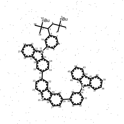 CCCCC(C)(C)CC(c1cccc(-n2c3ccccc3c3cc(-c4ccc5sc6ccc(-c7cccc(-n8c9ccccc9c9ccccc98)c7)cc6c5c4)ccc32)c1)C(C)(C)CCCC